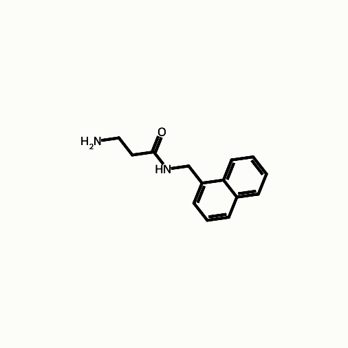 NCCC(=O)NCc1cccc2ccccc12